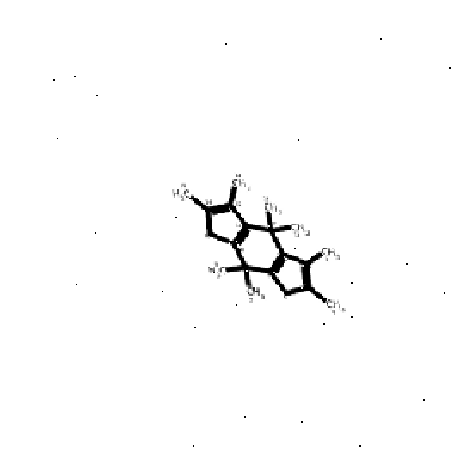 CC1=C(C)C2=C(C1)C(C)(C)C1=C(C(C)=C(C)C1)C2(C)C